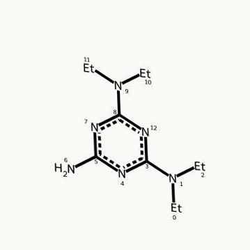 CCN(CC)c1nc(N)nc(N(CC)CC)n1